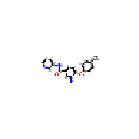 N#Cc1ccc(OC2=CC=C(C(=O)Nc3cccnc3)CN2)cc1